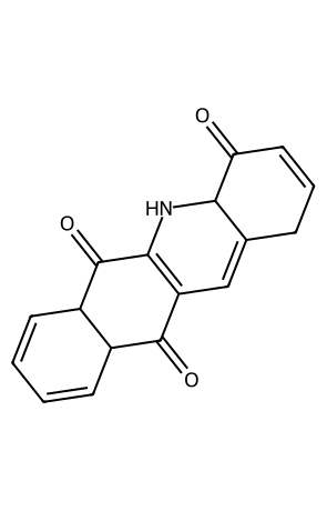 O=C1C=CCC2=CC3=C(NC12)C(=O)C1C=CC=CC1C3=O